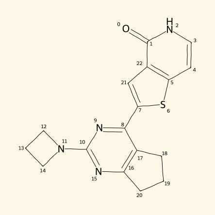 O=c1[nH]ccc2sc(-c3nc(N4CCC4)nc4c3CCC4)cc12